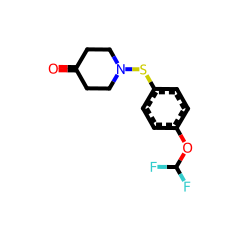 O=C1CCN(Sc2ccc(OC(F)F)cc2)CC1